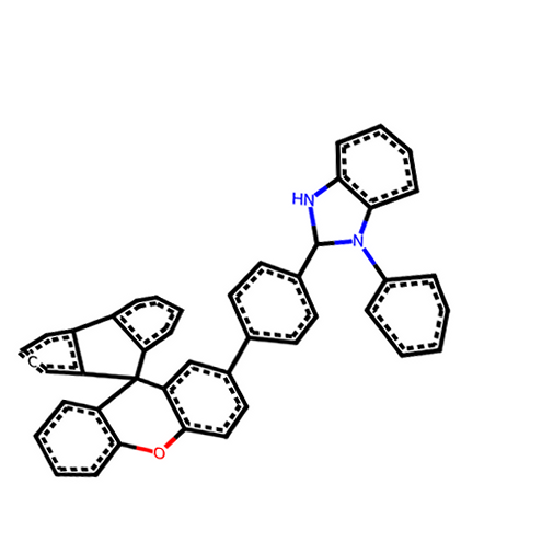 c1ccc(N2c3ccccc3NC2c2ccc(-c3ccc4c(c3)C3(c5ccccc5O4)c4ccccc4-c4ccccc43)cc2)cc1